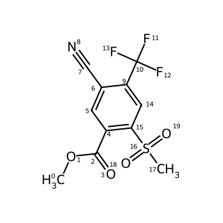 COC(=O)c1cc(C#N)c(C(F)(F)F)cc1S(C)(=O)=O